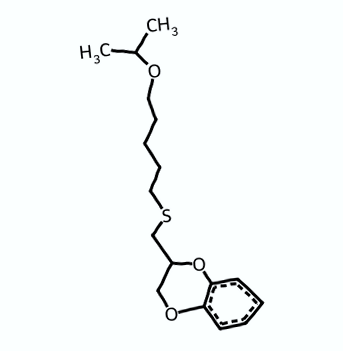 CC(C)OCCCCCSCC1COc2ccccc2O1